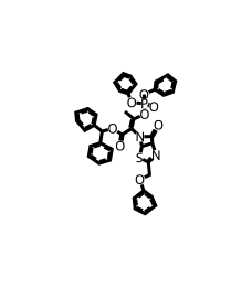 CC(OP(=O)(Oc1ccccc1)Oc1ccccc1)=C(C(=O)OC(c1ccccc1)c1ccccc1)N1C(=O)C2N=C(COc3ccccc3)SC21